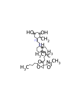 C=C1/C(=C\C=C2/CCC[C@]3(C)[C@@H]([C@H](C)CC[C@H](OC(=O)CCCC)C4(c5nc(C)co5)CC4)CC[C@@H]23)C[C@@H](O)C[C@@H]1O